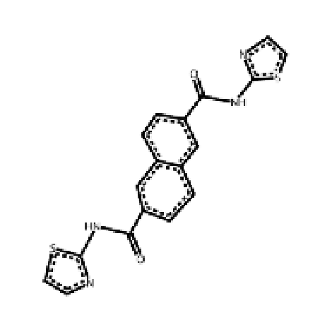 O=C(Nc1nccs1)c1ccc2cc(C(=O)Nc3nccs3)ccc2c1